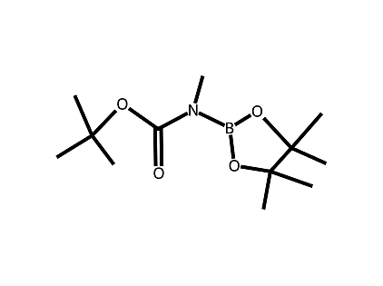 CN(B1OC(C)(C)C(C)(C)O1)C(=O)OC(C)(C)C